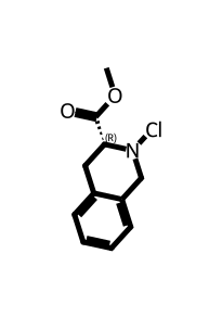 COC(=O)[C@H]1Cc2ccccc2CN1Cl